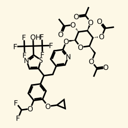 CC(=O)OC[C@H]1O[C@@H](Oc2ccc(CC(c3ccc(OC(F)F)c(OC4CC4)c3)c3cnc(C(O)(C(F)(F)F)C(F)(F)F)s3)cn2)[C@H](OC(C)=O)[C@@H](OC(C)=O)[C@@H]1OC(C)=O